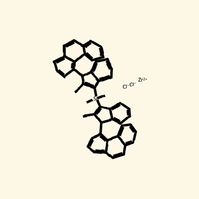 CC1=C([Si](C)(C)C2=C(C)C(c3cccc4ccc5ccccc5c34)c3ccccc32)c2ccccc2C1c1cccc2ccc3ccccc3c12.[Cl-].[Cl-].[Zr+2]